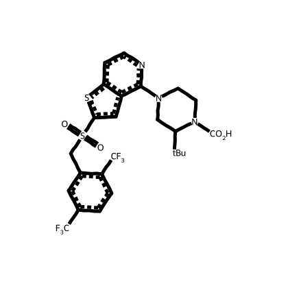 CC(C)(C)C1CN(c2nccc3sc(S(=O)(=O)Cc4cc(C(F)(F)F)ccc4C(F)(F)F)cc23)CCN1C(=O)O